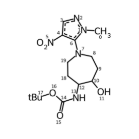 Cn1ncc([N+](=O)[O-])c1N1CCC(O)C(NC(=O)OC(C)(C)C)CC1